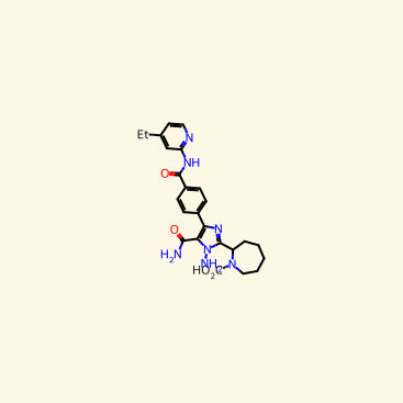 CCc1ccnc(NC(=O)c2ccc(-c3nc(C4CCCCCN4C(=O)O)n(N)c3C(N)=O)cc2)c1